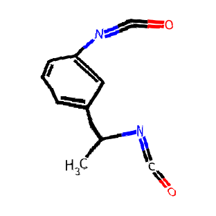 CC(N=C=O)c1cccc(N=C=O)c1